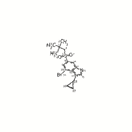 CC(C)(C)CS(=O)(=O)c1cc(Br)c2c(c1)ncn2C1CC1